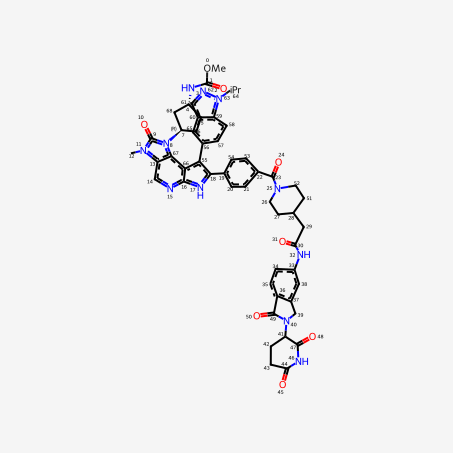 COC(=O)N[C@@H]1CC[C@@H](n2c(=O)n(C)c3cnc4[nH]c(-c5ccc(C(=O)N6CCC(CC(=O)Nc7ccc8c(c7)CN(C7CCC(=O)NC7=O)C8=O)CC6)cc5)c(-c5ccc6c(cnn6C(C)C)c5)c4c32)C1